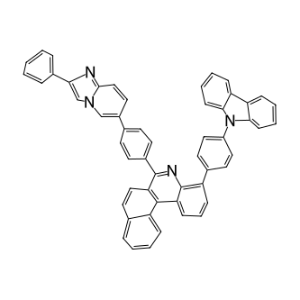 c1ccc(-c2cn3cc(-c4ccc(-c5nc6c(-c7ccc(-n8c9ccccc9c9ccccc98)cc7)cccc6c6c5ccc5ccccc56)cc4)ccc3n2)cc1